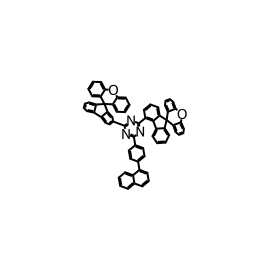 c1ccc2c(c1)Oc1ccccc1C21c2ccccc2-c2ccc(-c3nc(-c4ccc(-c5cccc6ccccc56)cc4)nc(-c4cccc5c4-c4ccccc4C54c5ccccc5Oc5ccccc54)n3)cc21